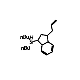 C=CCC1CC([SiH](CCCC)CCCC)C2C=CC=CC12